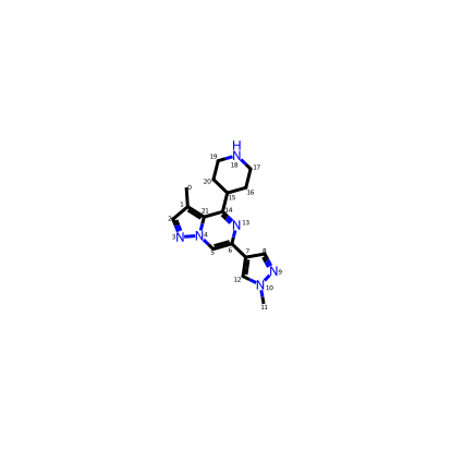 Cc1cnn2cc(-c3cnn(C)c3)nc(C3CCNCC3)c12